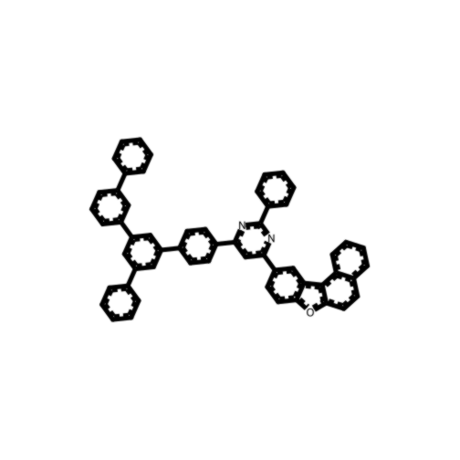 c1ccc(-c2cccc(-c3cc(-c4ccccc4)cc(-c4ccc(-c5cc(-c6ccc7oc8ccc9ccccc9c8c7c6)nc(-c6ccccc6)n5)cc4)c3)c2)cc1